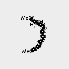 COC(=O)Oc1ccc(C(C)(C)c2ccc(OC(=O)Oc3ccc(-c4ccc(Oc5cccc(Oc6ccc(-c7ccc(OC)cc7)cc6)c5)cc4)cc3)cc2)cc1